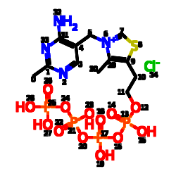 Cc1ncc(C[n+]2csc(CCOP(=O)(O)OP(=O)(O)OP(=O)(O)OP(=O)(O)O)c2C)c(N)n1.[Cl-]